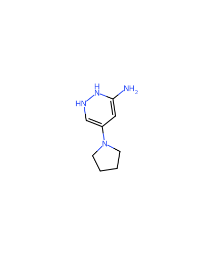 NC1=CC(N2CCCC2)=CNN1